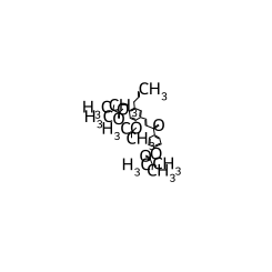 CC=CCc1cc(C=CC(=O)c2ccc(OC(=O)C(C)(C)C)cc2)c(OC(C)C)cc1OC(=O)C(C)(C)C